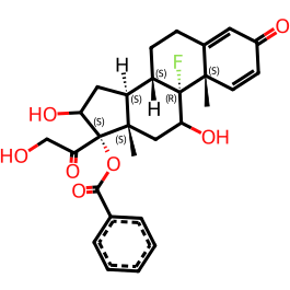 C[C@]12C=CC(=O)C=C1CC[C@H]1[C@@H]3CC(O)[C@](OC(=O)c4ccccc4)(C(=O)CO)[C@@]3(C)CC(O)[C@@]12F